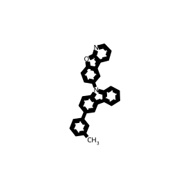 Cc1cccc(-c2ccc3c(c2)c2ccccc2n3-c2ccc3oc4ncccc4c3c2)c1